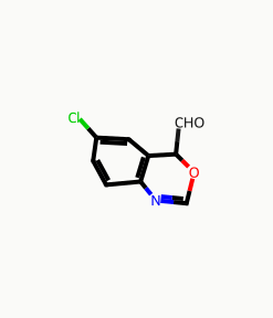 O=CC1OC=Nc2ccc(Cl)cc21